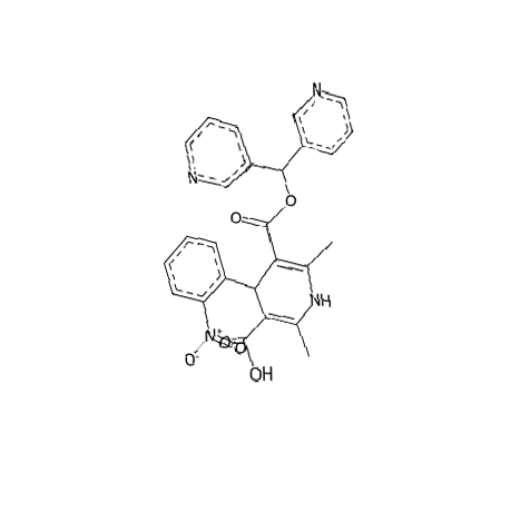 CC1=C(C(=O)O)C(c2ccccc2[N+](=O)[O-])C(C(=O)OC(c2cccnc2)c2cccnc2)=C(C)N1